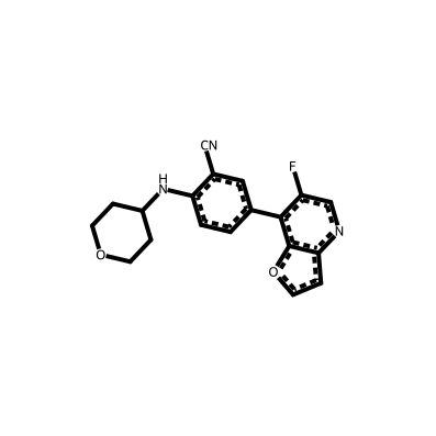 N#Cc1cc(-c2c(F)cnc3ccoc23)ccc1NC1CCOCC1